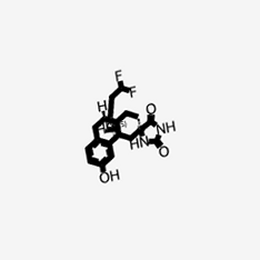 O=C1NC(=O)[C@@]2(CC[C@@]3(O)[C@H]4Cc5ccc(O)cc5[C@@]3(CCN4CC(F)F)C2)N1